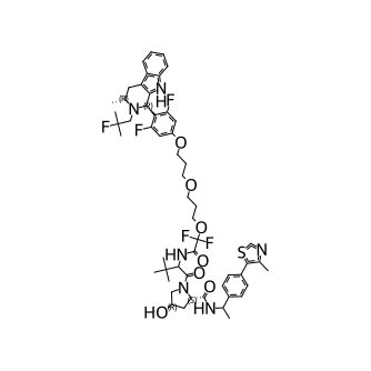 Cc1ncsc1-c1ccc(C(C)NC(=O)[C@@H]2C[C@@H](O)CN2C(=O)C(NC(=O)C(F)(F)OCCCOCCCOc2cc(F)c([C@@H]3c4[nH]c5ccccc5c4C[C@@H](C)N3CC(C)(C)F)c(F)c2)C(C)(C)C)cc1